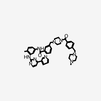 Cc1ccc(NC(=O)c2cccc(CN3CCN(C(=O)c4ccc(CN5CCN(C)CC5)cc4)CC3)c2)cc1Nc1nccc(-c2cccnc2)n1